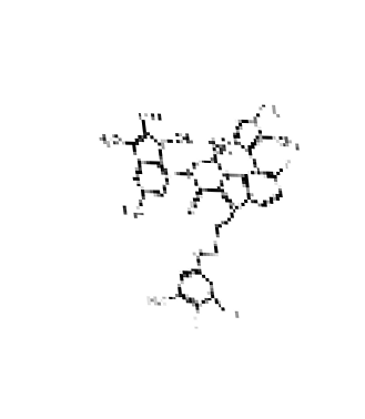 Cc1cc(N2CC(C)n3c(c(CCCOc4cc(C)c(Cl)c(C)c4)c4ccc(Cl)c(-c5c(C)nn(C)c5C)c43)C2=O)c2c(c1)c(C)c(C(=O)O)n2C